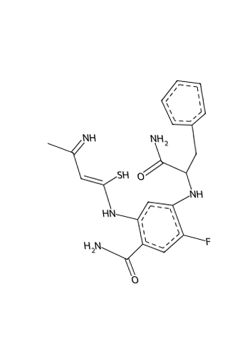 CC(=N)/C=C(\S)Nc1cc(NC(Cc2ccccc2)C(N)=O)c(F)cc1C(N)=O